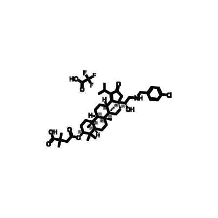 CC(C)C1=C2[C@H]3CC[C@@H]4[C@@]5(C)CC[C@H](OC(=O)CC(C)(C)C(=O)O)C(C)(C)[C@@H]5CC[C@@]4(C)[C@]3(C)CC[C@@]2([C@@H](O)CNCc2ccc(Cl)cc2)CC1=O.O=C(O)C(F)(F)F